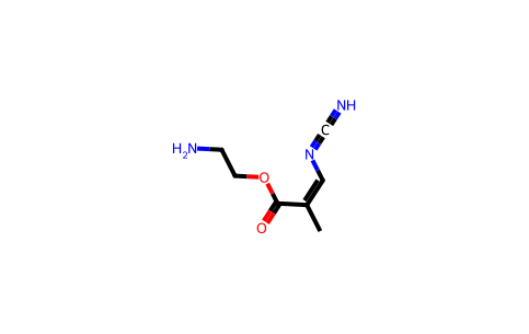 CC(=CN=C=N)C(=O)OCCN